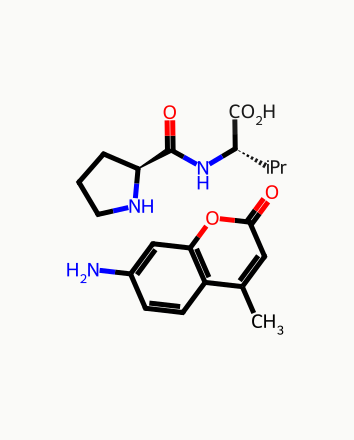 CC(C)[C@H](NC(=O)[C@@H]1CCCN1)C(=O)O.Cc1cc(=O)oc2cc(N)ccc12